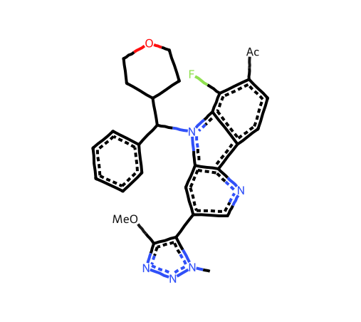 COc1nnn(C)c1-c1cnc2c3ccc(C(C)=O)c(F)c3n(C(c3ccccc3)C3CCOCC3)c2c1